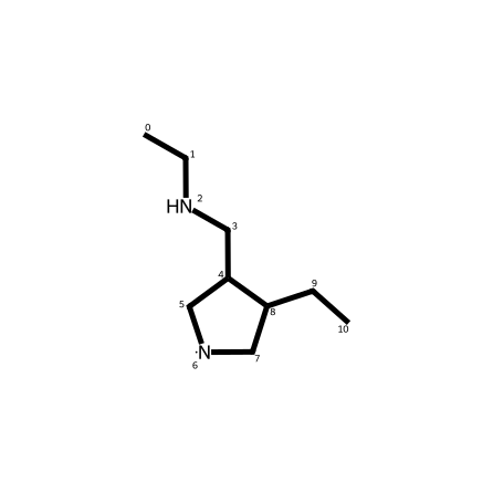 CCNCC1C[N]CC1CC